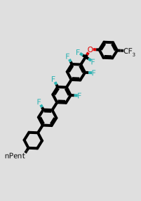 CCCCCC1CCC(c2ccc(-c3cc(F)c(-c4cc(F)c(C(F)(F)Oc5ccc(C(F)(F)F)cc5)c(F)c4)c(F)c3)c(F)c2)CC1